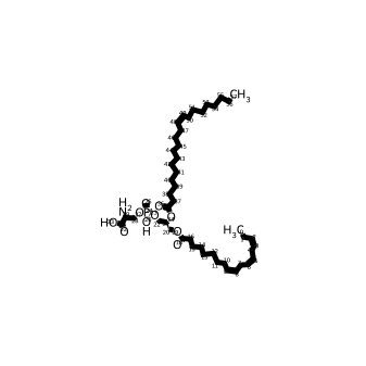 CC/C=C\C/C=C\C/C=C\CCCCCCCC(=O)OC[C@H](COP(=O)(O)OC[C@H](N)C(=O)O)OC(=O)CCCCCCCCCCC/C=C\CCCCCCCC